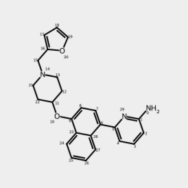 Nc1cccc(-c2ccc(OC3CCN(Cc4ccco4)CC3)c3ccccc23)n1